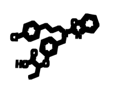 CCC(Oc1cccc(CN(CCCc2ccc(Cl)cc2)c2nc3ccccc3o2)c1)C(=O)O